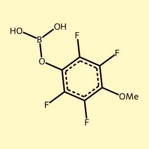 COc1c(F)c(F)c(OB(O)O)c(F)c1F